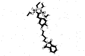 CCOP(=O)(OCC)C(=Cc1ccc(F)c(OCCCCN2C(=O)c3ccccc3C2=O)c1)P(=O)(OCC)OCC